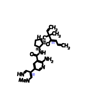 C=C/C=C(\O[C@H]1CCC[C@@H]1NC(=O)c1cc(/C(C=N)=C/NC)cnc1N)C(C)(C)C=C